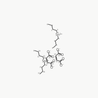 CCC[CH2][Sn+2][CH2]CCC.CCC[CH2][Sn+2][CH2]CCC.O=C([O-])/C=C\C(=O)[O-].O=C([O-])/C=C\C(=O)[O-]